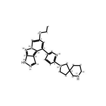 CCOc1cc(-c2ccc(N3CCC4(CCCNC4)C3)nc2)c2c3cn[nH]c3nn2c1